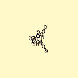 CCOC(=O)C(C)Sc1nc(-c2cc(OCOCCOC)c(OC)cc2Cl)c2c(C#N)cn(COCC[Si](C)(C)C)c2n1